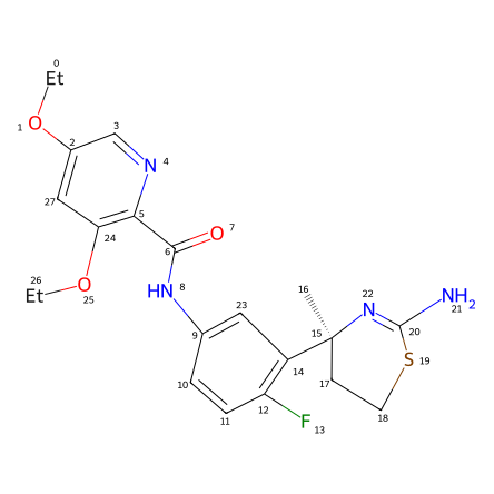 CCOc1cnc(C(=O)Nc2ccc(F)c([C@]3(C)CCSC(N)=N3)c2)c(OCC)c1